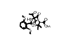 CSc1cccc(SC)c1C(=O)NC1(C(C)=O)C(=O)N2[C@@H](C(=O)O)C(C)(C)S[C@@H]21